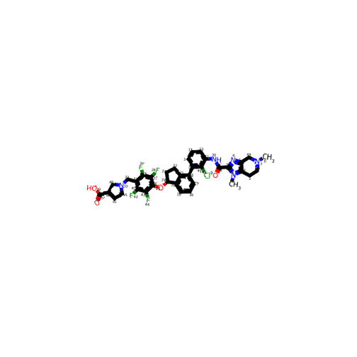 CN1CCc2c(nc(C(=O)Nc3cccc(-c4cccc5c4CCC5Oc4c(F)c(F)c(CN5CCC(C(=O)O)C5)c(F)c4F)c3Cl)n2C)C1